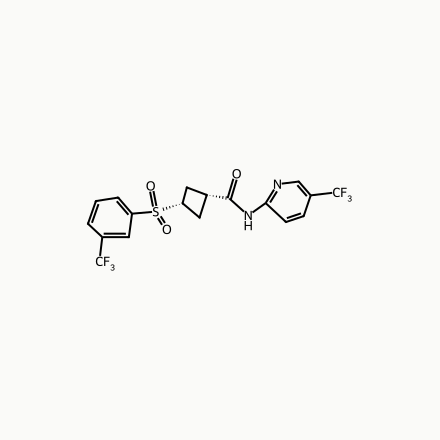 O=C(Nc1ccc(C(F)(F)F)cn1)[C@H]1C[C@@H](S(=O)(=O)c2cccc(C(F)(F)F)c2)C1